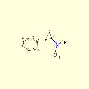 CN(C)[C@@H]1C[C@H]1c1ccccc1